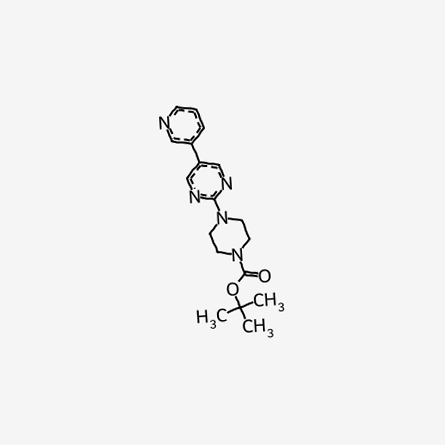 CC(C)(C)OC(=O)N1CCN(c2ncc(-c3cccnc3)cn2)CC1